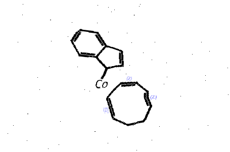 C1=C\C=C/CC\C=C/1.[Co][CH]1C=Cc2ccccc21